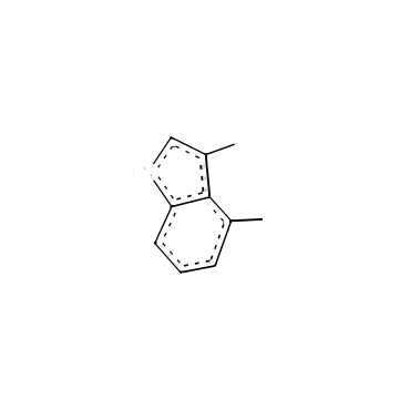 Fc1c[nH]c2cccc(Cl)c12